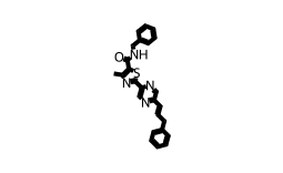 Cc1nc(-c2cnc(C=CCc3ccccc3)cn2)sc1C(=O)NCc1ccccc1